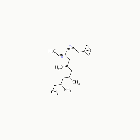 C=C(CC(/C=C\CC12CC1C2)=C/C)CC(C)CC(N)CC